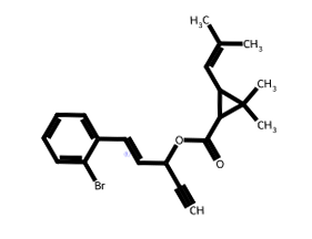 C#CC(/C=C/c1ccccc1Br)OC(=O)C1C(C=C(C)C)C1(C)C